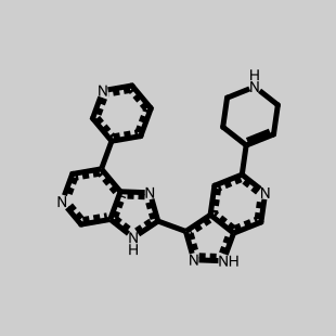 C1=C(c2cc3c(-c4nc5c(-c6cccnc6)cncc5[nH]4)n[nH]c3cn2)CCNC1